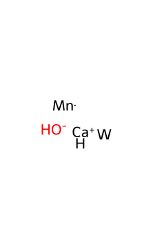 [CaH+].[Mn].[OH-].[W]